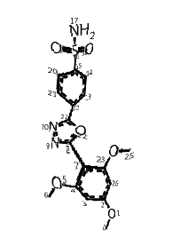 COc1cc(OC)c(-c2nnc(-c3ccc(S(N)(=O)=O)cc3)o2)c(OC)c1